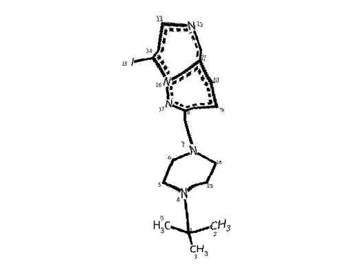 CC(C)(C)N1CCN(c2ccc3ncc(I)n3n2)CC1